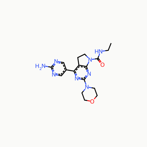 CCNC(=O)N1CCc2c(-c3cnc(N)nc3)nc(N3CCOCC3)nc21